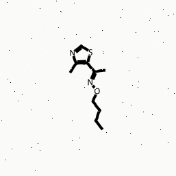 CCCCON=C(C)c1scnc1C